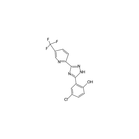 Oc1ccc(Cl)cc1-c1nc(-c2ccc(C(F)(F)F)cn2)n[nH]1